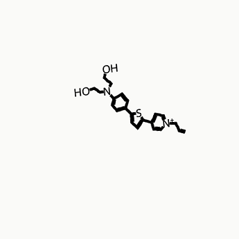 C=CC[n+]1ccc(-c2ccc(-c3ccc(N(CCO)CCO)cc3)s2)cc1